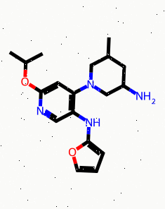 CC1CC(N)CN(c2cc(OC(C)C)ncc2Nc2ccco2)C1